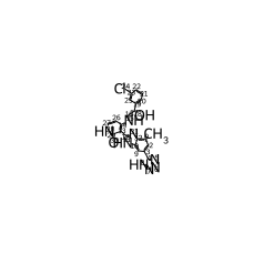 Cc1cc(-c2nnn[nH]2)cc2[nH]c(-c3c(NCC(O)c4cccc(Cl)c4)cc[nH]c3=O)nc12